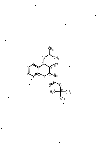 CC(C)OC1c2ccccc2CC(NC(=O)OC(C)(C)C)C1O